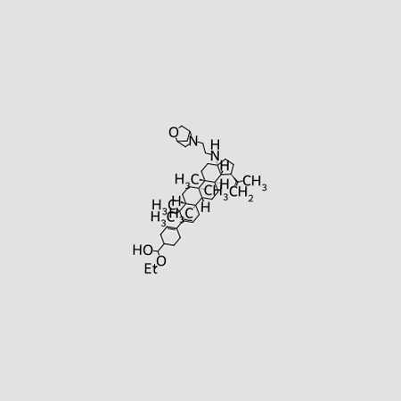 C=C(C)[C@@H]1CC[C@]2(NCCN3CC4CC3CO4)CC[C@]3(C)[C@H](CC[C@@H]4[C@@]5(C)CC=C(C6=CCC(C(O)OCC)CC6)C(C)(C)[C@@H]5CC[C@]43C)[C@@H]12